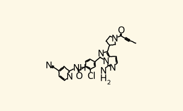 CC#CC(=O)N1CCC(c2nc(-c3ccc(C(=O)Nc4cc(C#N)ccn4)c(Cl)c3)n3c(N)nccc23)C1